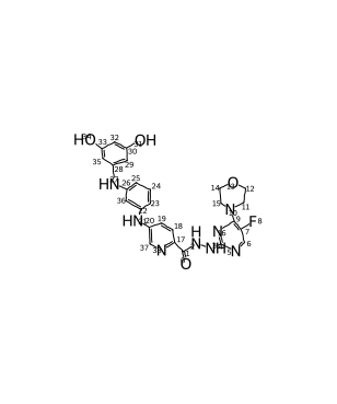 O=C(NNc1ncc(F)c(N2CCOCC2)n1)c1ccc(Nc2cccc(Nc3cc(O)cc(O)c3)c2)cn1